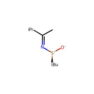 C/C(=N\[S@@+]([O-])C(C)(C)C)C(C)C